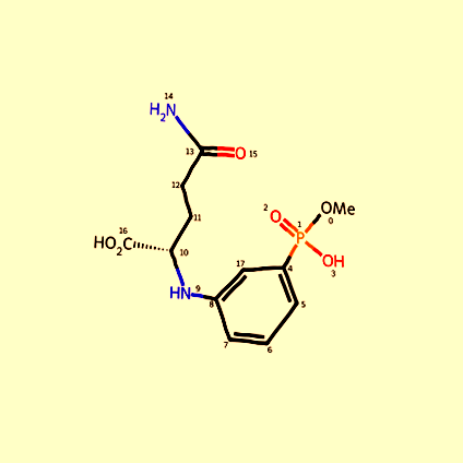 COP(=O)(O)c1cccc(N[C@@H](CCC(N)=O)C(=O)O)c1